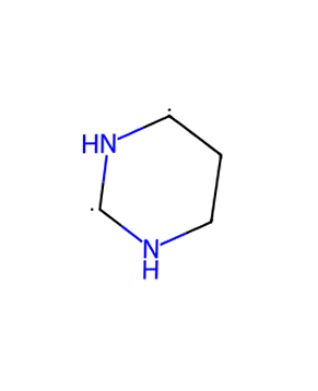 [CH]1CCN[CH]N1